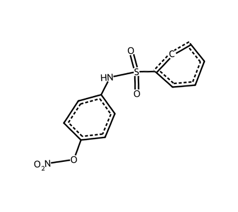 O=[N+]([O-])Oc1ccc(NS(=O)(=O)c2ccccc2)cc1